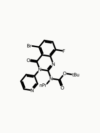 CCCN(C(=O)OC(C)(C)C)c1nc2c(F)ccc(Br)c2c(=O)n1-c1cccnc1